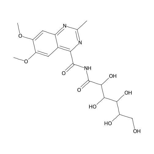 COc1cc2nc(C)nc(C(=O)NC(=O)C(O)C(O)C(O)C(O)CO)c2cc1OC